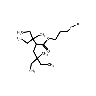 CCC(C)(CC)CC(C(=O)OCCCCO)C(C)(CC)CC